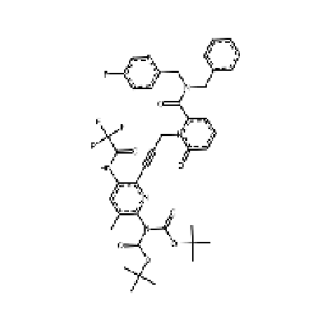 Cc1cc(NC(=O)C(F)(F)F)c(C#CCn2c(C(=O)N(Cc3ccccc3)Cc3ccc(F)cn3)cccc2=O)nc1N(C(=O)OC(C)(C)C)C(=O)OC(C)(C)C